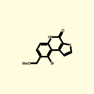 COCc1ccc2[nH]c(=O)c3sccc3c2c1Br